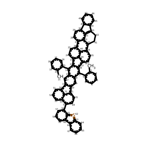 Cc1ccccc1-c1c2cc3c(cc2c(-c2ccccc2C)c2c4ccc5c6ccc7c8c6c(c6ccc(c12)c4c65)CCC=8c1ccccc1-7)c1cccc2c(-c4cccc5c4sc4ccccc45)ccc3c21